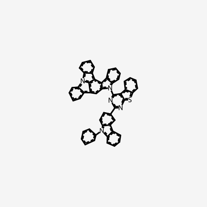 c1ccc(-n2c3ccccc3c3cc(-c4nc(-n5c6ccccc6c6c7c8ccccc8n8c9ccccc9c(cc65)c78)c5c(n4)sc4ccccc45)ccc32)cc1